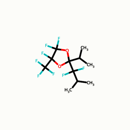 CC(C)C(F)(F)C1(C(C)C)OC(F)(F)C(F)(C(F)(F)F)O1